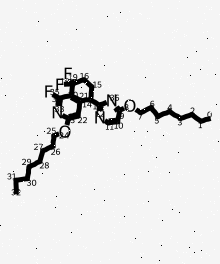 CCCCCCCCOc1ccnc(C2CCC(F)(F)c3c2cc(OCCCCCCCC)nc3F)n1